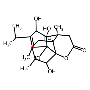 CC1=C(C(C)C)C(O)[C@]2(O)C1(O)C13OC(=O)C[C@@]2(C)[C@@]1(O)CCC(C)C3O